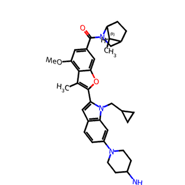 COc1cc(C(=O)N2CC3CCC2[C@@H]3C)cc2oc(-c3cc4ccc(N5CCC(N)CC5)cc4n3CC3CC3)c(C)c12